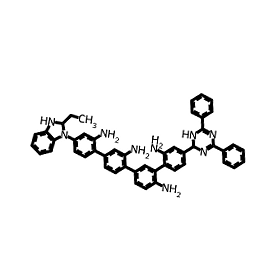 CCC1Nc2ccccc2N1c1ccc(-c2ccc(-c3ccc(N)c(-c4ccc(C5N=C(c6ccccc6)N=C(c6ccccc6)N5)cc4N)c3)c(N)c2)c(N)c1